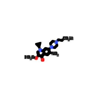 CCOC(=O)CCN1CCN(c2cc3c(cc2[N+](=O)[O-])c(=O)c(OC(=O)O)cn3C2CC2)CC1